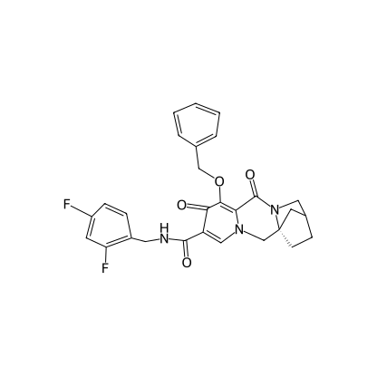 O=C(NCc1ccc(F)cc1F)c1cn2c(c(OCc3ccccc3)c1=O)C(=O)N1CC3CC[C@]1(C3)C2